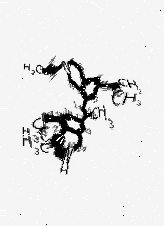 C=CCN1CCc2cc(C(C)C)cc(CC(C)c3cc(Cl)c4c(c3)CNCC4(C)C)c2C1